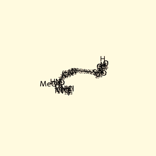 COc1cc2ncnc(Nc3ccc(F)c(Cl)c3)c2cc1NC(=O)/C=C/CN1CCC(N2CCN(CCCCCCCCCCSc3cccc4c3CN(C3CCC(=O)NC3=O)C4=O)CC2)CC1